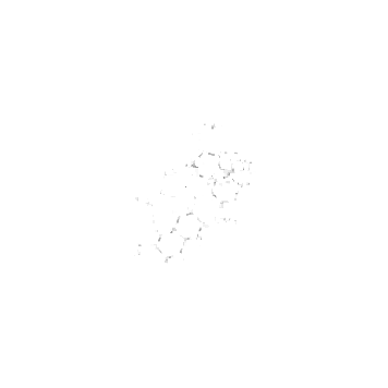 CCCOc1cc(C(O)(CCN(C)C)C(c2cc3cc(Br)ccc3nc2OC)c2ccnc(OC)c2OC)cc(OC)n1